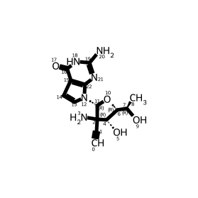 C#CC1(N)[C@@H](O)[C@@H]([C@@H](C)O)O[C@H]1n1ccc2c(=O)[nH]c(N)nc21